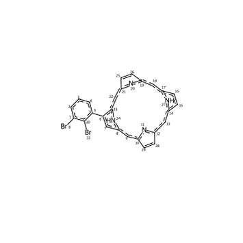 Brc1cccc(-c2cc3cc4nc(cc5ccc(cc6nc(cc2[nH]3)C=C6)[nH]5)C=C4)c1Br